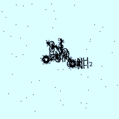 CCCCN(CCC(=O)OCC)C(=O)[C@H](CC(=O)NCC1CN(C(=N)N)CCO1)NC(=O)OCc1ccccc1